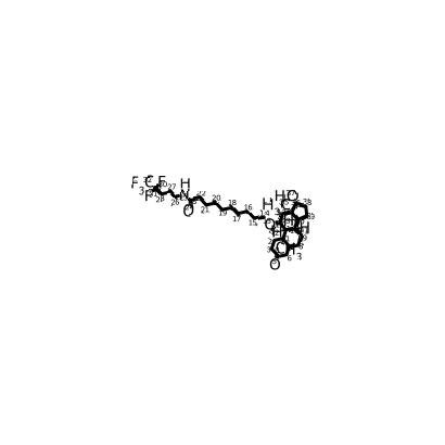 C[C@]12CCC(=O)CC1CC[C@@H]1[C@H]2C(OCCCCCCCCCC(=O)NCCCC(F)(F)C(F)(F)F)C[C@]2(C)C(O)CC[C@@H]12